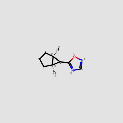 c1noc(C2[C@H]3CCC[C@@H]23)n1